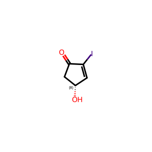 O=C1C[C@@H](O)C=C1I